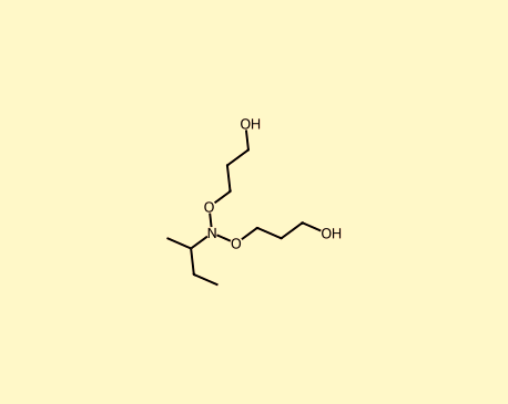 CCC(C)N(OCCCO)OCCCO